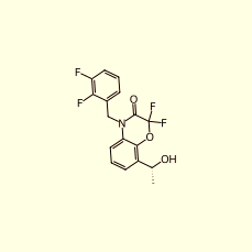 C[C@@H](O)c1cccc2c1OC(F)(F)C(=O)N2Cc1cccc(F)c1F